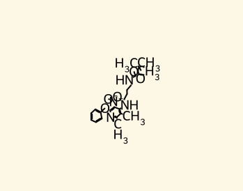 Cc1nc(Oc2ccccc2)c([N+](=O)[O-])c(NCCCCNC(=O)OC(C)(C)C)c1C